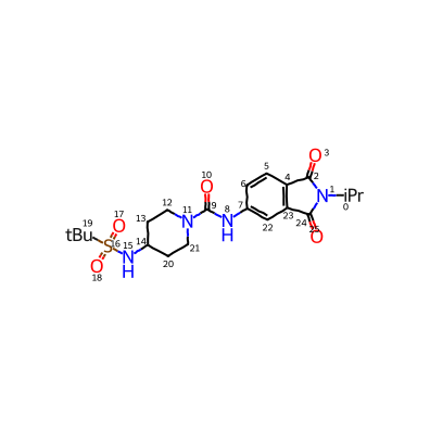 CC(C)N1C(=O)c2ccc(NC(=O)N3CCC(NS(=O)(=O)C(C)(C)C)CC3)cc2C1=O